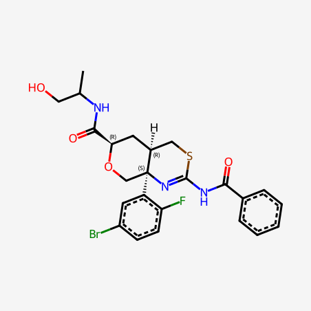 CC(CO)NC(=O)[C@H]1C[C@H]2CSC(NC(=O)c3ccccc3)=N[C@@]2(c2cc(Br)ccc2F)CO1